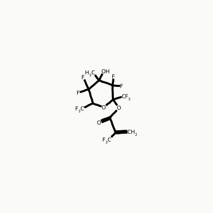 C=C(C(=O)OC1(C(F)(F)F)OC(C(F)(F)F)C(F)(F)C(C)(O)C1(F)F)C(F)(F)F